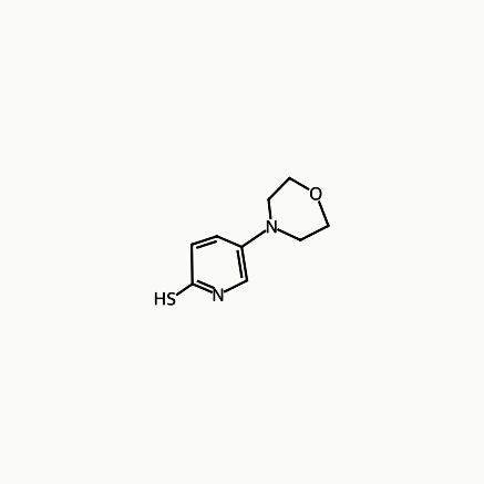 Sc1ccc(N2CCOCC2)cn1